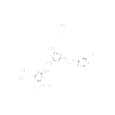 Cc1nc(Cl)nc(N2CCN(c3nc(NCCOCCO)nc(N4CCN(c5nc(C(C)C)nc(C(C)C)n5)CC4)n3)CC2)n1